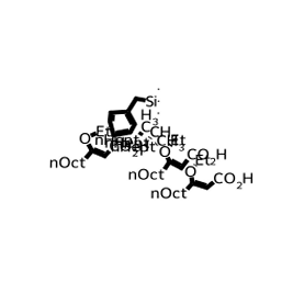 CCCCCCCC.CCCCCCCC.CCCCCCCC.CCCCCCCCC(=CC(=O)O)OCC.CCCCCCCCC(=CC(=O)O)OCC.CCCCCCCCC(=CC(=O)O)OCC.[Si]Cc1ccccc1